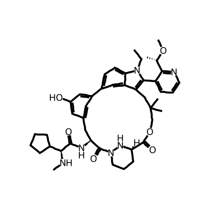 CCn1c(-c2cccnc2[C@H](C)OC)c2c3cc(ccc31)-c1cc(O)cc(c1)C[C@H](NC(=O)[C@@H](NC)C1CCCC1)C(=O)N1CCC[C@H](N1)C(=O)OCC(C)(C)C2